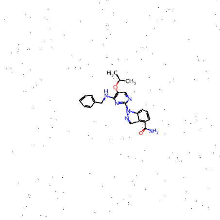 CC(C)Oc1cnc(-n2ncc3c(C(N)=O)cccc32)nc1NCc1ccccc1